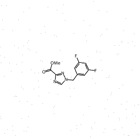 COC(=O)c1ncn(Cc2cc(F)cc(F)c2)n1